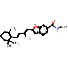 CCCCCCCCNC(=O)c1ccc2cc(/C=C(C)/C=C/C3=C(C)CCCC3(C)C)oc2c1